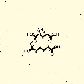 N[C@@H](CCC(=O)O)C(=O)O.O=C(O)CCCCC(=O)O